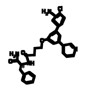 NC(=O)[C@H](Cc1ccccc1)NC(=O)CCCOc1cc(-c2cccnc2)cc(-c2ccc(Cl)c(N)c2)c1